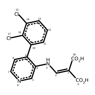 O=C(O)C(=CNc1cnccc1-c1cccc(Cl)c1Cl)C(=O)O